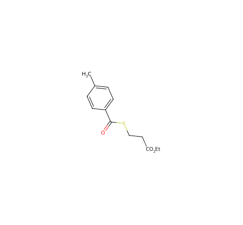 CCOC(=O)CCSC(=O)c1ccc(C)cc1